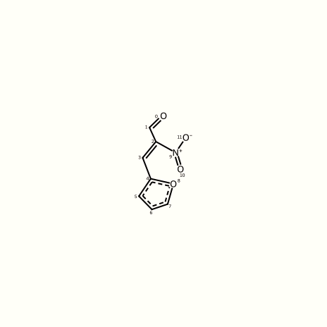 O=CC(=Cc1ccco1)[N+](=O)[O-]